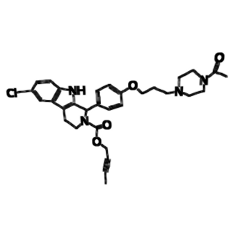 CC#CCOC(=O)N1CCc2c([nH]c3ccc(Cl)cc23)C1c1ccc(OCCCN2CCN(C(C)=O)CC2)cc1